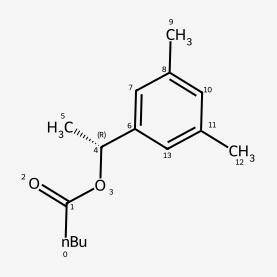 CCCCC(=O)O[C@H](C)c1cc(C)cc(C)c1